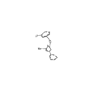 Clc1cccc(Oc2cc(Br)cc(-c3ccccc3)c2)c1